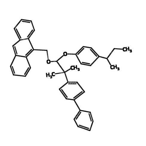 CCC(C)c1ccc(OC(OCc2c3ccccc3cc3ccccc23)C(C)(C)c2ccc(-c3ccccc3)cc2)cc1